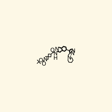 Cn1ncc(-c2ccc3cnc(NC(=O)C4CC5(C4)CN(C(=O)OC(C)(C)C)C5)cc3c2)c1CN1CCCCC1